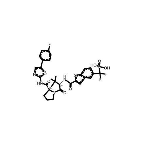 CC(C)(C)[C@H](NC(=O)c1cc2cc(C(F)(F)P(=O)(O)O)ccc2s1)C(=O)N1CCC[C@H]1C(=O)Nc1ncc(-c2ccc(F)cc2)s1